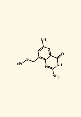 CCCSCc1cc(N)cc2c(=O)[nH]c(N)nc12